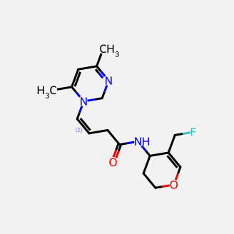 CC1=CC(C)=NCN1/C=C\CC(=O)NC1CCOC=C1CF